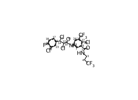 O=C(NCCC(F)(F)F)c1cc(NC(=O)C(Cl)C(Cl)c2ccc(F)c(Cl)c2)cc(C(F)(F)F)c1Cl